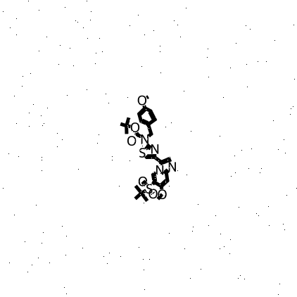 COc1ccc(CN(C(=O)OC(C)(C)C)c2nc(-c3cnc4cc(OC)c(S(=O)(=O)C(C)(C)C)cn34)cs2)cc1